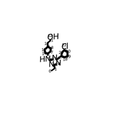 CCc1nc(Nc2ccc(CCO)cc2)nc(-c2cccc(Cl)c2)n1